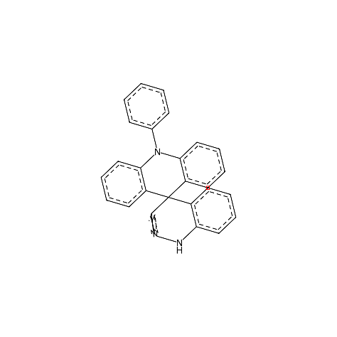 c1ccc(N2c3ccccc3C3(c4ccccc4Nc4ccccc43)c3ccccc32)cc1